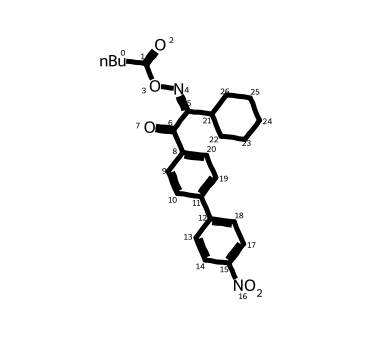 CCCCC(=O)O/N=C(\C(=O)c1ccc(-c2ccc([N+](=O)[O-])cc2)cc1)C1CCCCC1